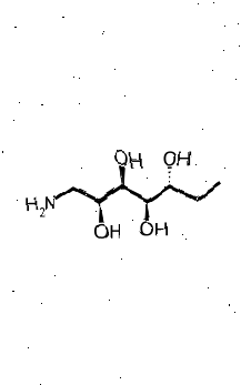 CC[C@@H](O)[C@@H](O)[C@H](O)[C@@H](O)CN